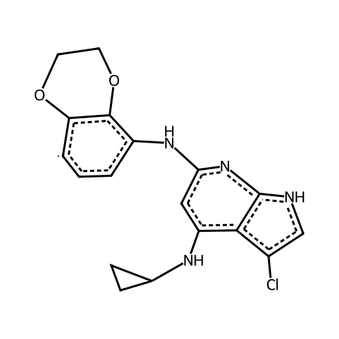 Clc1c[nH]c2nc(Nc3cc[c]c4c3OCCO4)cc(NC3CC3)c12